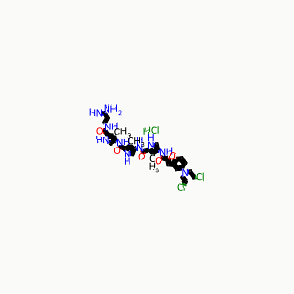 Cc1c(NC(=O)c2cc3cc(N(CCCl)CCCl)ccc3o2)c[nH]c1C(=O)Nc1c[nH]c(C(=O)Nc2c[nH]c(C(=O)NCCC(=N)N)c2C)c1C.Cl